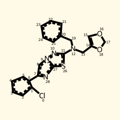 Clc1ccccc1-c1cn2nc(N(CC3=COCO3)Cc3ccccc3)sc2n1